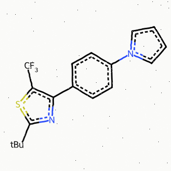 CC(C)(C)c1nc(-c2ccc(-n3cccc3)cc2)c(C(F)(F)F)s1